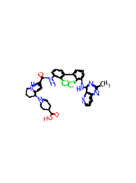 Cc1nc(Nc2cccc(-c3cccc(NC(=O)c4cc5n(n4)CCC[C@@H]5N4CCC(C(=O)O)CC4)c3Cl)c2Cl)c2ncccc2n1